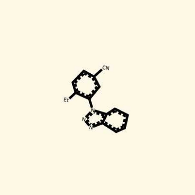 CCc1ccc(C#N)cc1-n1nnc2ccccc21